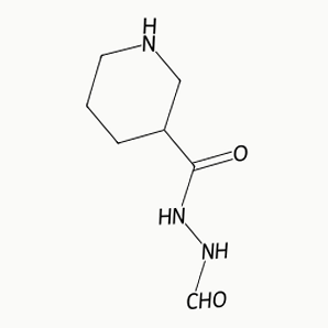 O=CNNC(=O)C1CCCNC1